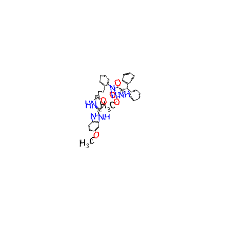 COC(=O)N[C@H](C(=O)Nc1ccccc1CC[C@@H]1CN[C@H](c2nc3ccc(OC)cc3[nH]2)CO1)C(c1ccccc1)c1ccccc1